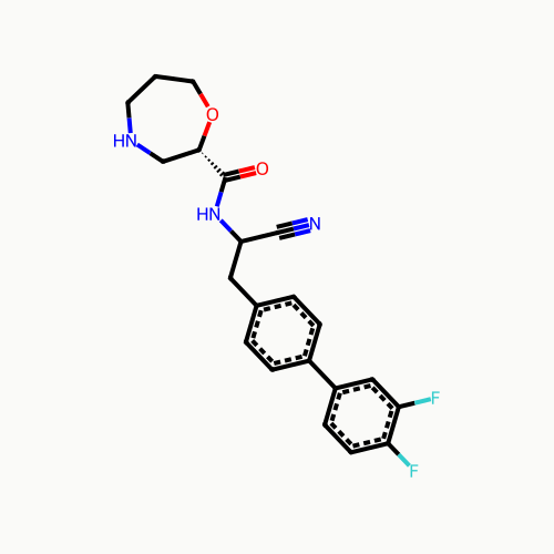 N#CC(Cc1ccc(-c2ccc(F)c(F)c2)cc1)NC(=O)[C@@H]1CNCCCO1